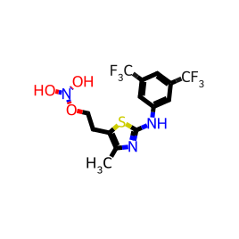 Cc1nc(Nc2cc(C(F)(F)F)cc(C(F)(F)F)c2)sc1CCON(O)O